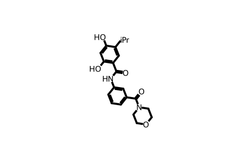 CC(C)c1cc(C(=O)Nc2cccc(C(=O)N3CCOCC3)c2)c(O)cc1O